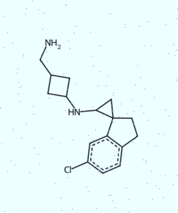 NCC1CC(NC2CC23CCc2ccc(Cl)cc23)C1